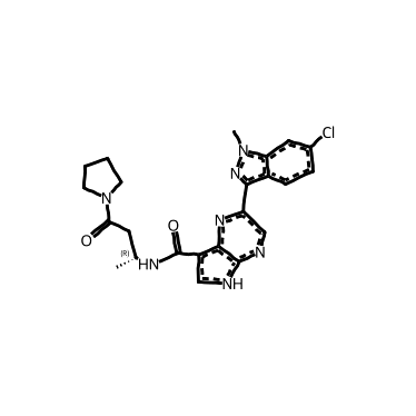 C[C@H](CC(=O)N1CCCC1)NC(=O)c1c[nH]c2ncc(-c3nn(C)c4cc(Cl)ccc34)nc12